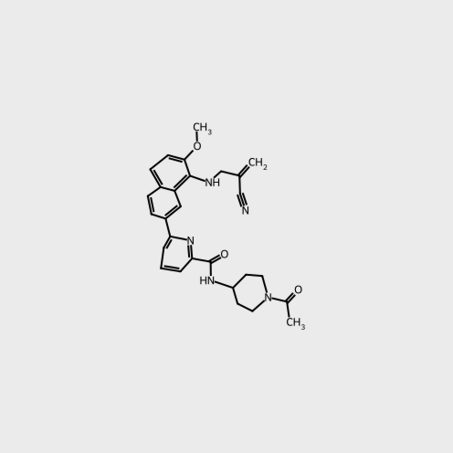 C=C(C#N)CNc1c(OC)ccc2ccc(-c3cccc(C(=O)NC4CCN(C(C)=O)CC4)n3)cc12